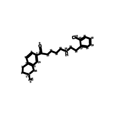 CC(=O)N1CCc2ccc(C(=O)CCCCNCCc3ccccc3Cl)cc2C1